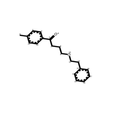 Cc1ccc(C(=O)CCCOCCc2ccccc2)cc1